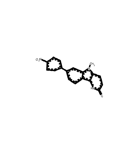 Cn1c2cc(-c3ccc([N+](=O)[O-])cc3)ccc2c2[nH]c(=O)ccc21